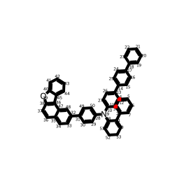 C1=C(c2ccccc2)C(N(c2ccc(-c3ccc(-c4ccccc4)cc3)cc2)c2ccc(-c3ccc4ccc5oc6ccccc6c5c4c3)cc2)=CCC1